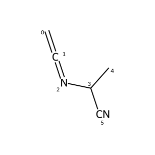 C=C=NC(C)C#N